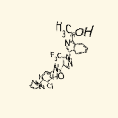 C[C@H](O)c1ncc(-n2ncc(C(=O)Nc3cnc(-n4nccn4)c(Cl)c3)c2C(F)(F)F)c2ccccc12